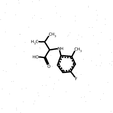 Cc1cc(F)ccc1NC(C(=O)O)C(C)C